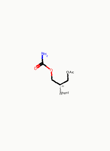 CCCCC[C@@H](COC(C)=O)COC(N)=O